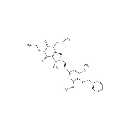 CCCn1c(=O)c2c(nc(C=Cc3cc(OC)c(OCc4ccccc4)c(OC)c3)n2C)n(CCC)c1=O